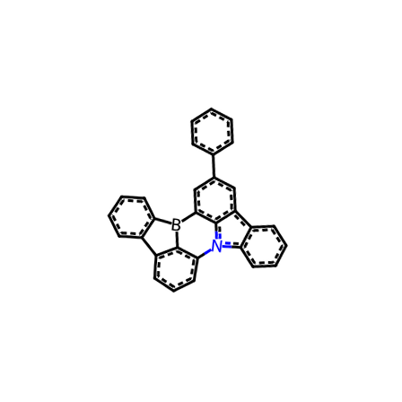 c1ccc(-c2cc3c4c(c2)c2ccccc2n4-c2cccc4c2B3c2ccccc2-4)cc1